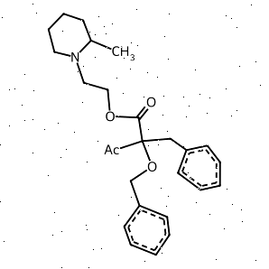 CC(=O)C(Cc1ccccc1)(OCc1ccccc1)C(=O)OCCN1CCCCC1C